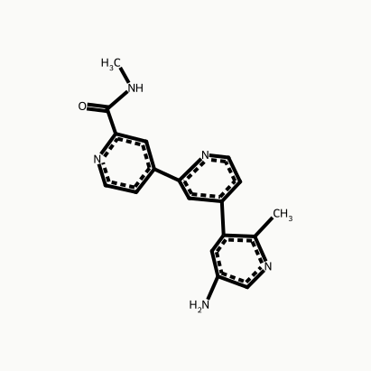 CNC(=O)c1cc(-c2cc(-c3cc(N)cnc3C)ccn2)ccn1